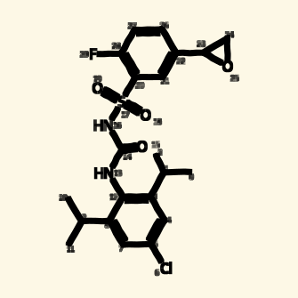 CC(C)c1cc(Cl)cc(C(C)C)c1NC(=O)NS(=O)(=O)c1cc(C2CO2)ccc1F